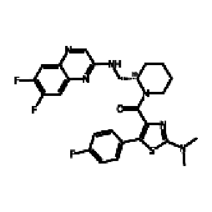 CN(C)c1nc(C(=O)N2CCCC[C@H]2CNc2cnc3cc(F)c(F)cc3n2)c(-c2ccc(F)cc2)s1